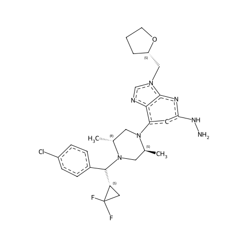 C[C@@H]1CN(c2cc(NN)nc3c2ncn3C[C@@H]2CCCO2)[C@@H](C)CN1C(c1ccc(Cl)cc1)[C@@H]1CC1(F)F